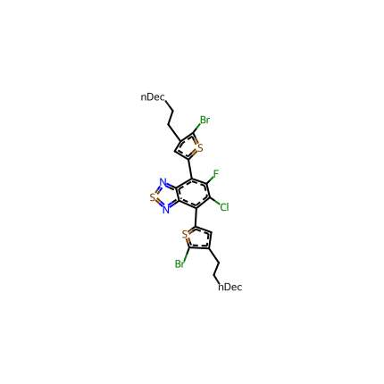 CCCCCCCCCCCCc1cc(-c2c(F)c(Cl)c(-c3cc(CCCCCCCCCCCC)c(Br)s3)c3nsnc23)sc1Br